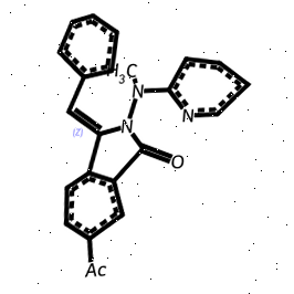 CC(=O)c1ccc2c(c1)C(=O)N(N(C)c1ccccn1)/C2=C\c1ccccc1